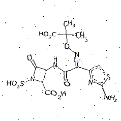 CC(C)(O/N=C(\C(=O)NC1C(=O)N(S(=O)(=O)O)C1C(=O)O)c1csc(N)n1)C(=O)O